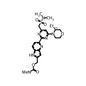 CC[C@H]1COCCN1c1cc(CS(=O)(=O)N(C)C)nc(-c2ccc3[nH]c(COC(=O)NC)cc3n2)n1